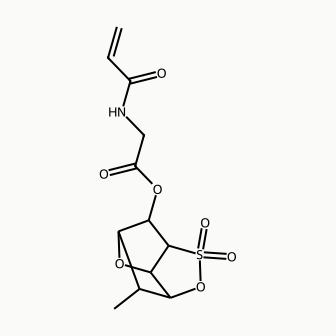 C=CC(=O)NCC(=O)OC1C2OC3C(OS(=O)(=O)C13)C2C